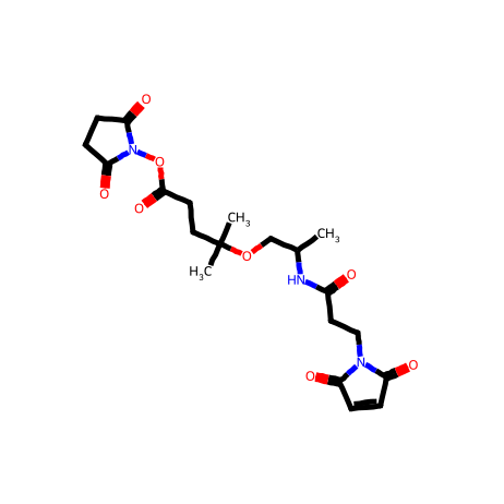 CC(COC(C)(C)CCC(=O)ON1C(=O)CCC1=O)NC(=O)CCN1C(=O)C=CC1=O